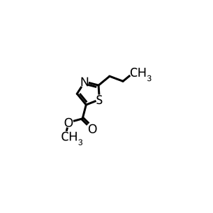 CCCc1ncc(C(=O)OC)s1